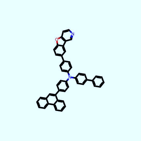 c1ccc(-c2ccc(N(c3ccc(-c4ccc5oc6ccncc6c5c4)cc3)c3ccc(-c4cc5ccccc5c5ccccc45)cc3)cc2)cc1